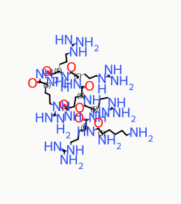 N=C(N)NCCC[C@H](NC(=O)[C@H](CCCNC(=N)N)NC(=O)[C@H](CCCNC(=N)N)NC(=O)[C@H](CCC(N)=O)NC(=O)[C@H](CCCNC(=N)N)NC(=O)[C@H](CCCNC(=N)N)NC(=O)[C@@H](N)CCCCN)C(N)=O